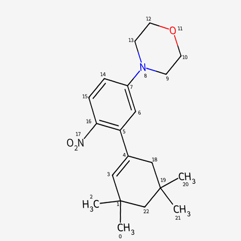 CC1(C)C=C(c2cc(N3CCOCC3)ccc2[N+](=O)[O-])CC(C)(C)C1